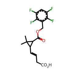 CC1(C)C(C=CCC(=O)O)C1C(=O)OCc1c(F)c(F)cc(F)c1F